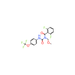 COCN(C(=O)Nc1ccc(OC(F)(F)F)cc1)C(=O)c1c(F)cccc1F